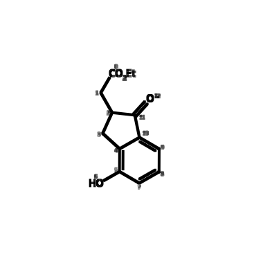 CCOC(=O)CC1Cc2c(O)cccc2C1=O